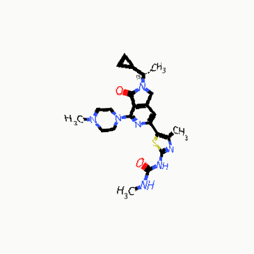 CNC(=O)Nc1nc(C)c(-c2cc3c(c(N4CCN(C)CC4)n2)C(=O)N([C@@H](C)C2CC2)C3)s1